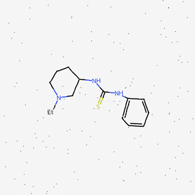 CCN1CCCC(NC(=S)Nc2ccccc2)C1